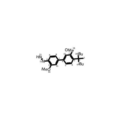 CCC(C)C(C)(c1ccc(-c2ccc(N=N)c(OC)c2)cc1OC)C(C)CC